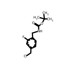 CC(C)(C)OC(=O)NCc1ccc(CCl)cc1F